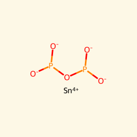 [O-]P([O-])OP([O-])[O-].[Sn+4]